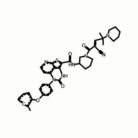 Cc1ccccc1Oc1ccc(N2C(=O)Nc3c(C(=O)NC4CCCN(C(=O)C(C#N)=CC(C)(C)N5CCCCC5)C4)sc4nccc2c34)cc1